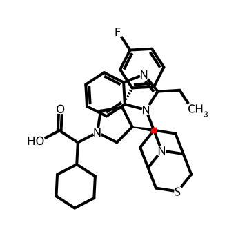 CCc1nc2ccccc2n1C1CC2CSCC(C1)N2C[C@H]1CN(C(C(=O)O)C2CCCCC2)C[C@@H]1c1cccc(F)c1